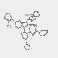 Cc1ccccc1-c1ccc2c(c1)c1cc(-c3ccccc3C)ccc1n2-c1ccc(-c2cccnc2)cc1-c1nc(-c2ccccc2)nc(-c2ccccc2)n1